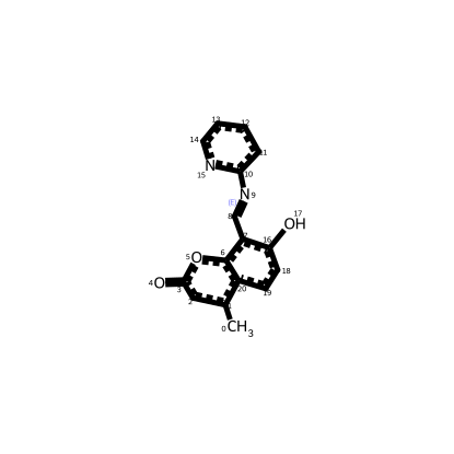 Cc1cc(=O)oc2c(/C=N/c3ccccn3)c(O)ccc12